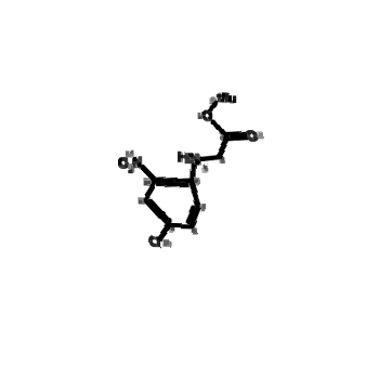 CC(C)(C)OC(=O)CNc1ccc(Cl)cc1[N+](=O)[O-]